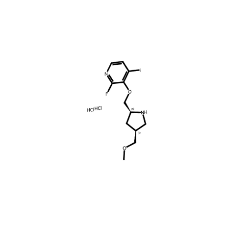 COC[C@@H]1CN[C@H](COc2c(I)ccnc2F)C1.Cl.Cl